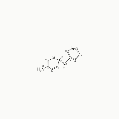 CC1(Nc2ccccc2)C=CC(N)=CC1